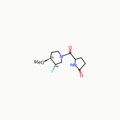 CO[C@H]1CCN(C(=O)C2CCC(=O)N2)C[C@H]1F